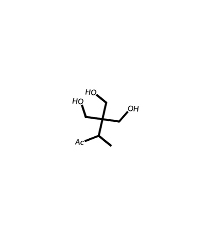 CC(=O)C(C)C(CO)(CO)CO